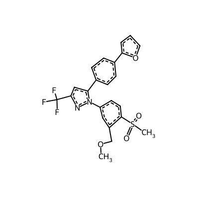 COCc1cc(-n2nc(C(F)(F)F)cc2-c2ccc(-c3ccco3)cc2)ccc1S(C)(=O)=O